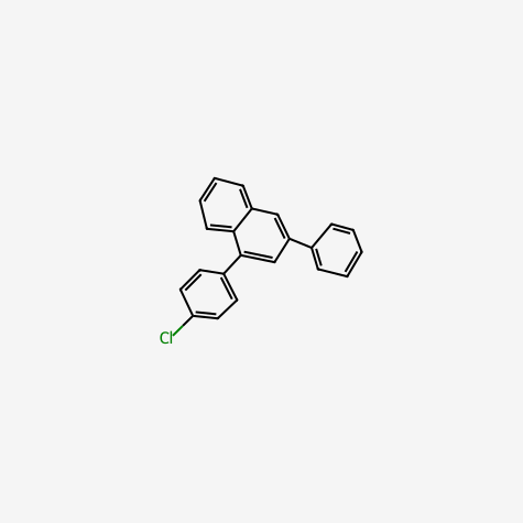 Clc1ccc(-c2cc(-c3ccccc3)cc3ccccc23)cc1